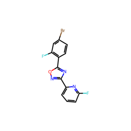 Fc1cccc(-c2noc(-c3ccc(Br)cc3F)n2)n1